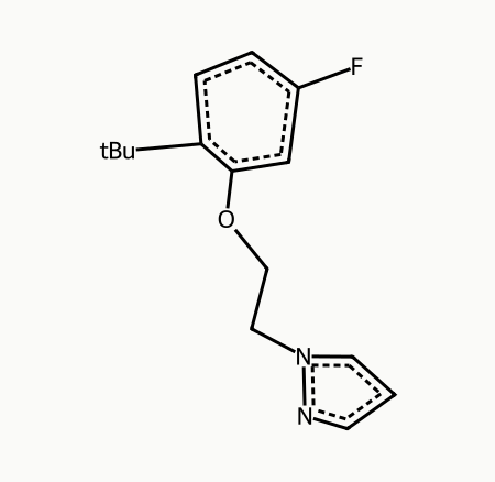 CC(C)(C)c1ccc(F)cc1OCCn1cccn1